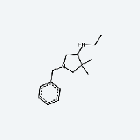 CCNC1CN(Cc2ccccc2)CC1(C)C